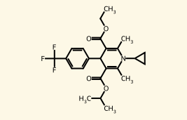 CCOC(=O)C1=C(C)N(C2CC2)C(C)=C(C(=O)OC(C)C)C1c1ccc(C(F)(F)F)cc1